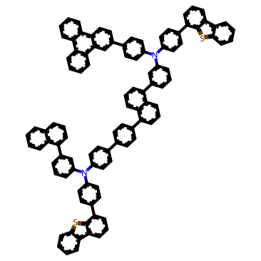 c1cc(-c2cccc3ccccc23)cc(N(c2ccc(-c3ccc(-c4cccc5c(-c6cccc(N(c7ccc(-c8ccc9c%10ccccc%10c%10ccccc%10c9c8)cc7)c7ccc(-c8cccc9c8sc8ccccc89)cc7)c6)cccc45)cc3)cc2)c2ccc(-c3cccc4c3sc3ccccc34)cc2)c1